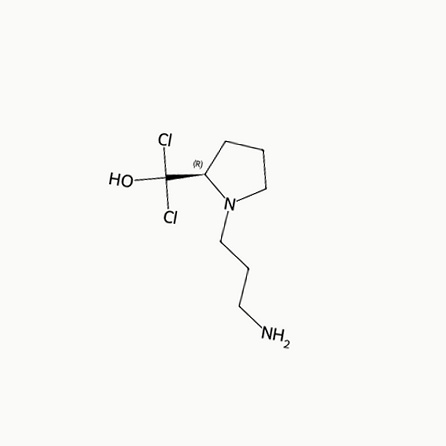 NCCCN1CCC[C@@H]1C(O)(Cl)Cl